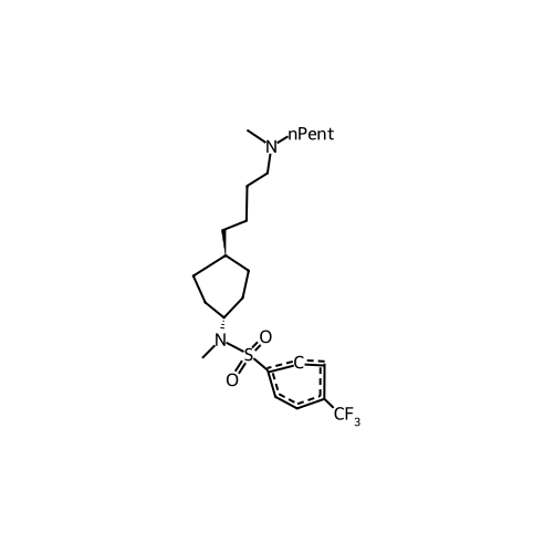 CCCCCN(C)CCCC[C@H]1CC[C@H](N(C)S(=O)(=O)c2ccc(C(F)(F)F)cc2)CC1